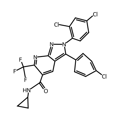 O=C(NC1CC1)c1cc2c(-c3ccc(Cl)cc3)n(-c3ccc(Cl)cc3Cl)nc2nc1C(F)(F)F